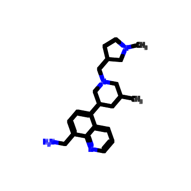 CC1CC(c2ccc(CN)c3ncccc23)CN(CC2CCN(C)C2)C1